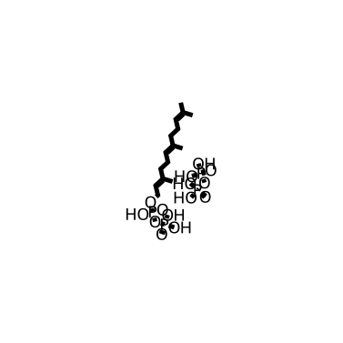 CC(C)=CCC/C(C)=C/CC/C(C)=C/COP(=O)(O)OP(=O)(O)O.O=P(O)(O)OP(=O)(O)O